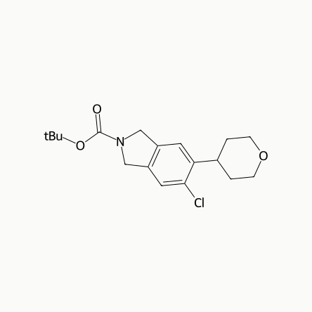 CC(C)(C)OC(=O)N1Cc2cc(Cl)c(C3CCOCC3)cc2C1